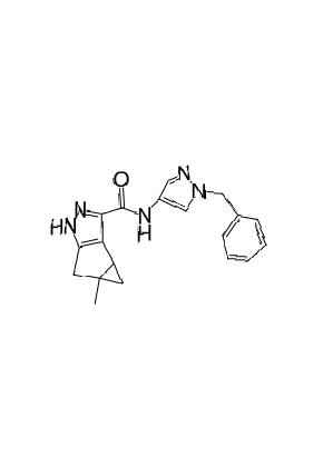 CC12Cc3[nH]nc(C(=O)Nc4cnn(Cc5ccccc5)c4)c3C1C2